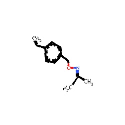 C=Cc1ccc(CON=C(C)C)cc1